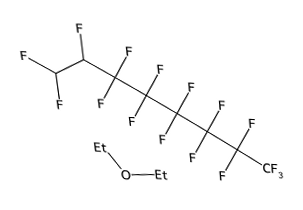 CCOCC.FC(F)C(F)C(F)(F)C(F)(F)C(F)(F)C(F)(F)C(F)(F)C(F)(F)F